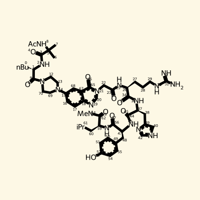 CCCC[C@H](NC(=O)C(C)(C)NC(C)=O)C(=O)N1CCN(c2ccc3ncn(CC(=O)N[C@@H](CCCNC(=N)N)C(=O)N[C@@H](Cc4c[nH]cn4)C(=O)N[C@@H](Cc4ccc(O)cc4)C(=O)N[C@@H](CC(C)C)C(=O)NC)c(=O)c3c2)CC1